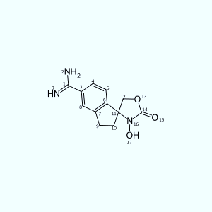 N=C(N)c1ccc2c(c1)CCC21COC(=O)N1O